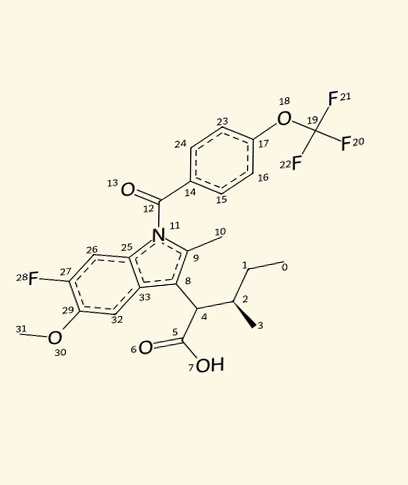 CC[C@@H](C)C(C(=O)O)c1c(C)n(C(=O)c2ccc(OC(F)(F)F)cc2)c2cc(F)c(OC)cc12